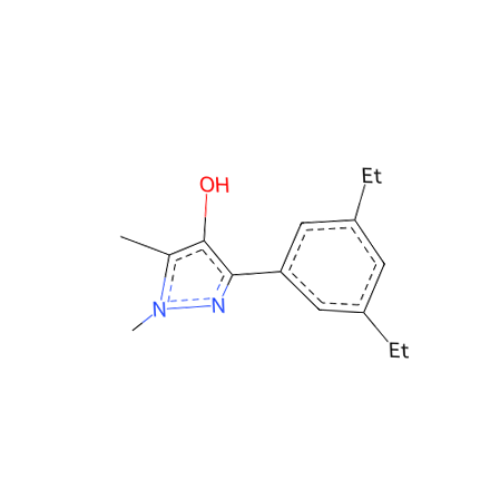 CCc1cc(CC)cc(-c2nn(C)c(C)c2O)c1